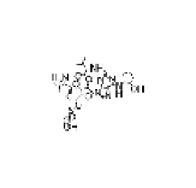 CC(C)[C@H](N)C(=O)O[C@@H]1[C@H](OC(=O)[C@@H](N)C(C)C)[C@@H](COSOOO)O[C@H]1n1cnc2c(N[C@@H]3CCC[C@H]3O)ncnc21